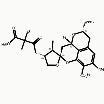 CCCCC[C@@H]1Cc2cc(O)c(C(=O)O)c3c2[C@H](C[C@]2(OC[C@H](CC(=O)C(C)(CC)C(=O)OC)[C@H]2C)O3)O1